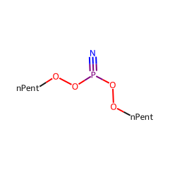 CCCCCOOP(#N)OOCCCCC